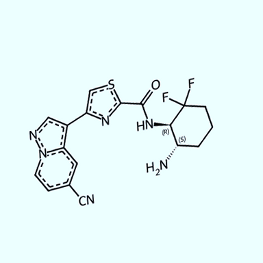 N#Cc1ccn2ncc(-c3csc(C(=O)N[C@@H]4[C@@H](N)CCCC4(F)F)n3)c2c1